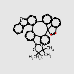 CC1(C)OB(c2cccc3c2-c2ccccc2C2(c4ccccc4-c4ccccc42)c2ccccc2-c2ccc4oc5ccccc5c4c2-3)OC1(C)C